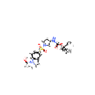 CC(=O)N1CCc2cc(S(=O)(=O)N3CC[C@@H](NC(=O)OC(C)(C)C)C3)ccc21